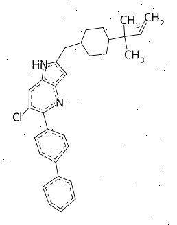 C=CC(C)(C)C1CCC(Cc2cc3nc(-c4ccc(-c5ccccc5)cc4)c(Cl)cc3[nH]2)CC1